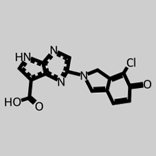 O=C1C=CC2=CN(c3cnc4[nH]cc(C(=O)O)c4n3)CC2=C1Cl